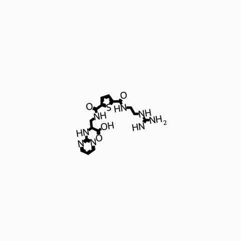 N=C(N)NCCNC(=O)c1ccc(C(=O)NCC(Nc2ncccn2)C(=O)O)s1